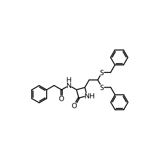 O=C(Cc1ccccc1)NC1C(=O)NC1CC(SCc1ccccc1)SCc1ccccc1